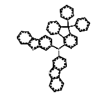 c1ccc(C2(c3ccccc3)c3ccccc3-c3c(N(c4ccc5c(c4)oc4ccccc45)c4ccc5c(c4)sc4ccccc45)cccc32)cc1